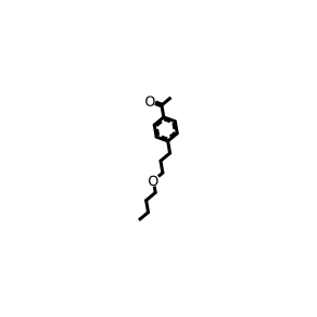 CCCCOCCCc1ccc(C(C)=O)cc1